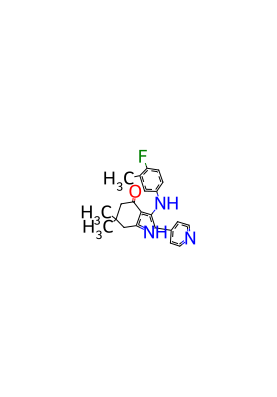 Cc1cc(Nc2c(-c3ccncc3)[nH]c3c2C(=O)CC(C)(C)C3)ccc1F